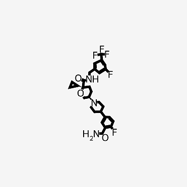 NC(=O)c1cc(C2CCN([C@@H]3CC[C@@](C(=O)NCc4cc(F)cc(C(F)(F)F)c4)(C4CC4)OC3)CC2)ccc1F